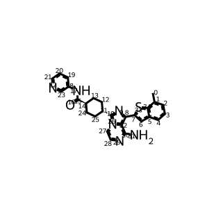 Cc1cccc2cc(-c3nc([C@H]4CC[C@H](C(=O)Nc5cccnc5)CC4)n4ccnc(N)c34)sc12